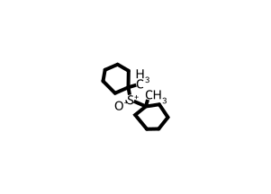 CC1([S+]([O-])C2(C)CCCCC2)CCCCC1